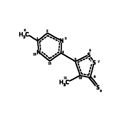 Cc1cnc(-c2ssc(=S)c2C)cn1